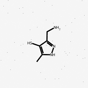 Cc1[nH]nc(CN)c1S